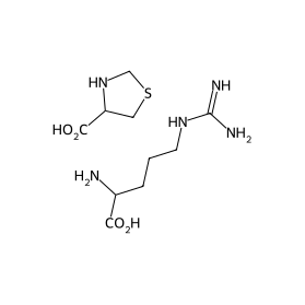 N=C(N)NCCCC(N)C(=O)O.O=C(O)C1CSCN1